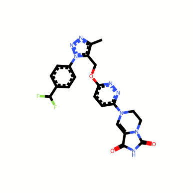 Cc1nnn(-c2ccc(C(F)F)cc2)c1COc1ccc(N2C=C3C(=O)NC(=O)N3CC2)nn1